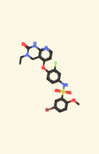 CCN1Cc2c(Oc3ccc(NS(=O)(=O)c4cc(Br)ccc4OC)cc3F)ccnc2NC1=O